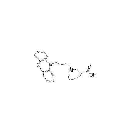 O=C(O)C1CCCN(CCCN2c3ccccc3Sc3ccccc32)C1